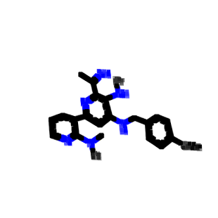 CCN(C)c1ncccc1-c1cc(NCc2ccc(OC)cc2)c(NC(C)C)c(C(C)=N)n1